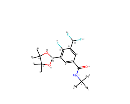 [2H]C([2H])([2H])NC(=O)c1cc(B2OC(C)(C)C(C)(C)O2)c(F)c(C(F)F)c1